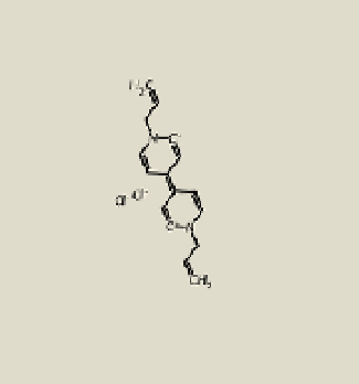 C=CCN1[C+]=CC(=C2C=[C+]N(CC=C)C=C2)C=C1.[Cl-].[Cl-]